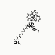 CCCCCCCCCCCCOCC(COC(c1ccccc1)(c1ccccc1)c1ccccc1)OC(=O)OC